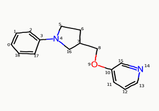 c1ccc(N2CCC(COc3cccnc3)C2)cc1